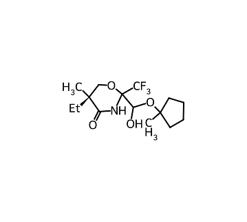 CC[C@@]1(C)COC(C(O)OC2(C)CCCC2)(C(F)(F)F)NC1=O